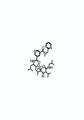 CC(C)CNC(=O)C(NC(=O)C(C)CC(O)C(CC(C)C)NC(=O)c1cncc(C(=O)N(C)Cc2ccccn2)c1)C(C)C